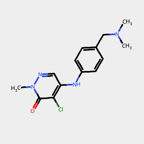 CN(C)Cc1ccc(Nc2cnn(C)c(=O)c2Cl)cc1